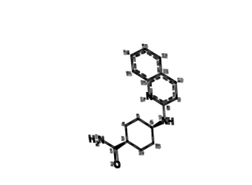 NC(=O)[C@H]1CC[C@@H](Nc2ccc3ccccc3n2)CC1